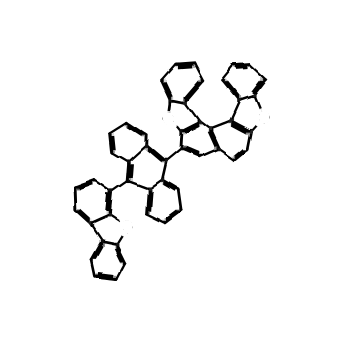 c1ccc2c(c1)oc1c(-c3c4ccccc4c(-c4cc5ccc6oc7ccccc7c6c5c5c4oc4ccccc45)c4ccccc34)cccc12